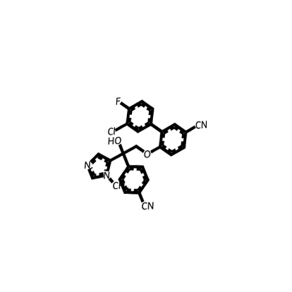 Cn1cncc1C(O)(COc1ccc(C#N)cc1-c1ccc(F)c(Cl)c1)c1ccc(C#N)cc1